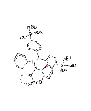 CCCC[Si](CCCC)(CCCC)c1ccc(P(c2ccc([Si](CCCC)(CCCC)CCCC)cc2)N(c2ccccc2)P(c2ccccc2)c2ccccc2OC)cc1